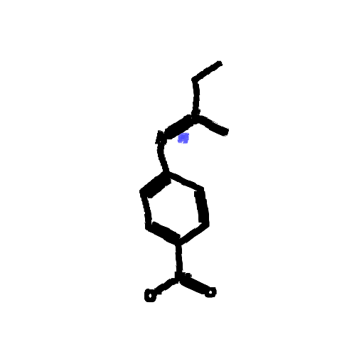 CC/S(C)=N/c1ccc([N+](=O)[O-])cc1